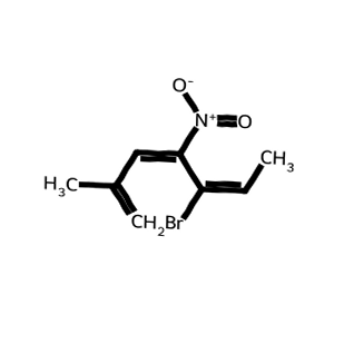 C=C(C)/C=C(\C(Br)=C/C)[N+](=O)[O-]